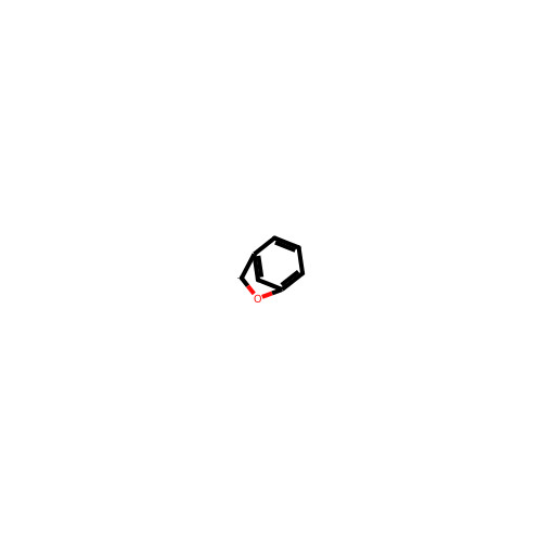 [CH]1Oc2cccc1c2